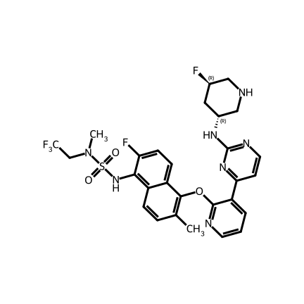 Cc1ccc2c(NS(=O)(=O)N(C)CC(F)(F)F)c(F)ccc2c1Oc1ncccc1-c1ccnc(N[C@H]2CNC[C@H](F)C2)n1